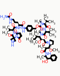 CC[C@H](C)[C@@H]([C@@H](CC(=O)N1CCC[C@H]1[C@H](OC)[C@@H](C)C(=O)N[C@H](C)[C@@H](O)c1ccccc1)OC)N(C)C(=O)[C@@H](NC(=O)[C@H](C(C)C)N(C)C(=O)OCc1ccc(NC(=O)[C@H](CCCNC(N)=O)NC(=O)[C@@H](NC(=O)C2(N3C(=O)C=CC3=O)CNC2)C(C)C)cc1)C(C)C